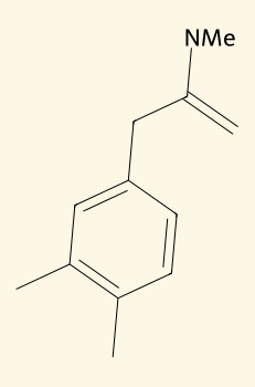 C=C(Cc1ccc(C)c(C)c1)NC